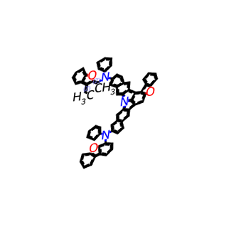 C/C=c1\c(=C(/C)N(c2ccccc2)c2ccc3cc4c5c6c(cc7c8cc9ccc(N(c%10ccccc%10)c%10cccc%11c%10oc%10ccccc%10%11)cc9cc8n(c4cc3c2)c75)oc2ccccc26)oc2ccccc12